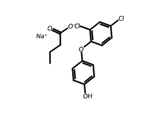 CCCC(=O)[O-].Oc1ccc(Oc2ccc(Cl)cc2Cl)cc1.[Na+]